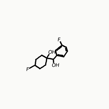 OC(c1cccc(F)c1)C1(O)CCC(F)CC1